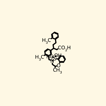 Cc1ccccc1CCC(CC(=O)O)c1ccc(C)c(CN2CC(C)Oc3ccccc3S2(O)O)c1